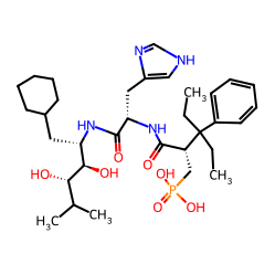 CCC(CC)(c1ccccc1)[C@H](CP(=O)(O)O)C(=O)N[C@@H](Cc1c[nH]cn1)C(=O)N[C@@H](CC1CCCCC1)[C@@H](O)[C@@H](O)C(C)C